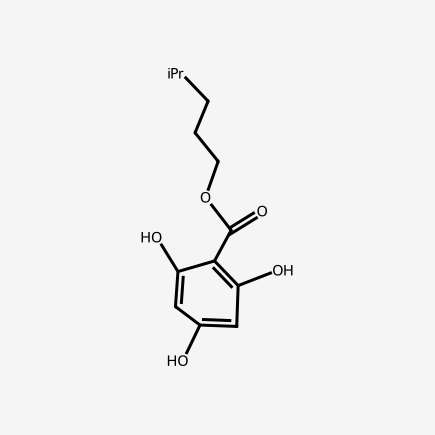 CC(C)CCCOC(=O)c1c(O)cc(O)cc1O